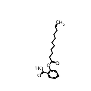 C=CCCCCCCCCC(=O)Oc1ccccc1C(=O)O